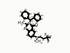 Cc1nc2ccc(N(C)CCC(F)(F)F)cc2c(=O)n1C(c1ccccc1)c1ccccc1